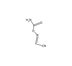 N#CC=NOC(N)=O